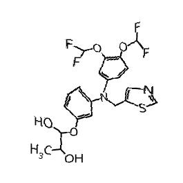 CC(O)C(O)Oc1cccc(N(Cc2cncs2)c2ccc(OC(F)F)c(OC(F)F)c2)c1